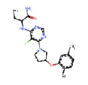 Cc1ccc(C(C)C)c(OC2CCN(c3ncnc(NC(CC(C)(C)C)C(N)=O)c3F)C2)c1